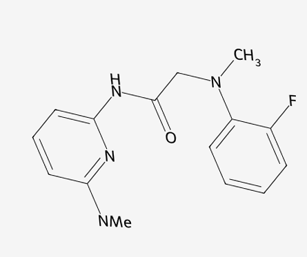 CNc1cccc(NC(=O)CN(C)c2ccccc2F)n1